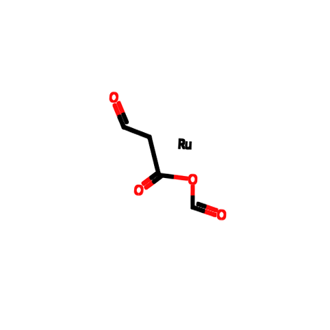 O=CCC(=O)OC=O.[Ru]